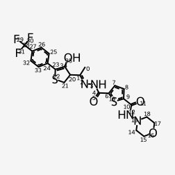 C/C(=N\NC(=O)c1ccc(C(=O)NN2CCOCC2)s1)C1CSC(c2ccc(C(F)(F)F)cc2)=C1O